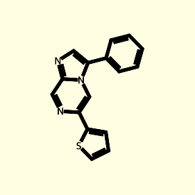 c1ccc(-c2cnc3cnc(-c4cccs4)cn23)cc1